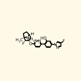 CN1[C@H]2CC[C@]1(C)[C@@H](F)[C@@H](Oc1ccc(-c3ccc(-n4cc(F)cn4)cc3O)nn1)C2